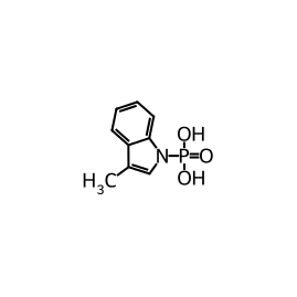 Cc1cn(P(=O)(O)O)c2ccccc12